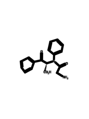 NCC(=O)N(c1ccccc1)[C@H](C(=O)O)C(=O)c1ccccc1